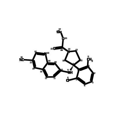 Cc1cccc(Cl)c1[C@]1(Nc2ccc3cc(C#N)cnc3c2)CCN(C(=O)OC(C)(C)C)C1